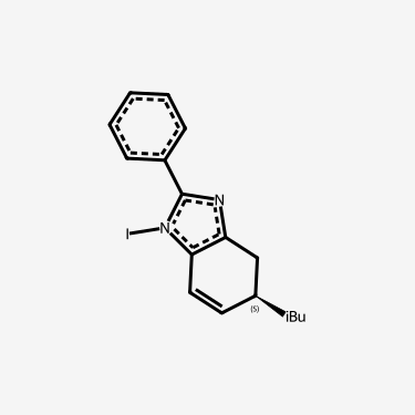 CCC(C)[C@H]1C=Cc2c(nc(-c3ccccc3)n2I)C1